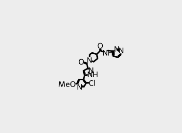 COc1cc(-c2cc(C(=O)N3CCC(C(=O)NCc4cccnn4)CC3)n[nH]2)c(Cl)cn1